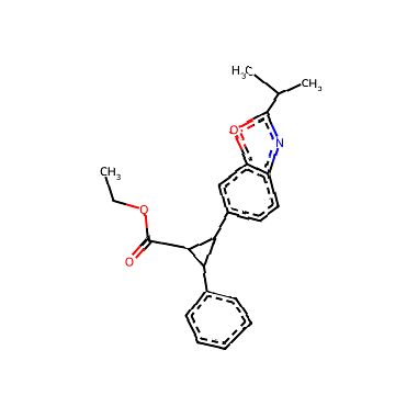 CCOC(=O)C1C(c2ccccc2)C1c1ccc2nc(C(C)C)oc2c1